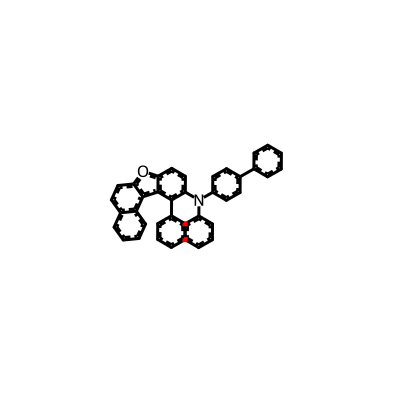 c1ccc(-c2ccc(N(c3ccccc3)c3ccc4oc5ccc6ccccc6c5c4c3-c3ccccc3)cc2)cc1